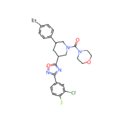 CCc1ccc(C2CC(c3nc(-c4ccc(F)c(Cl)c4)no3)CN(C(=O)N3CCOCC3)C2)cc1